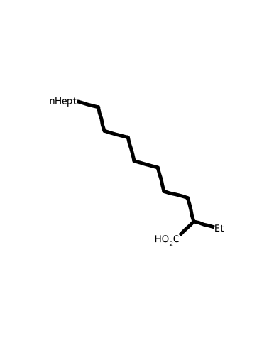 CCCCCCCCCCCCCCC(CC)C(=O)O